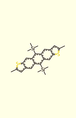 Cc1cc2cc3c([Si](C)(C)C)c4cc5sc(C)cc5cc4c([Si](C)(C)C)c3cc2s1